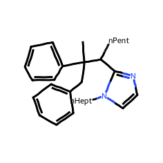 CCCCCCCn1ccnc1C(CCCCC)C(C)(Cc1ccccc1)c1ccccc1